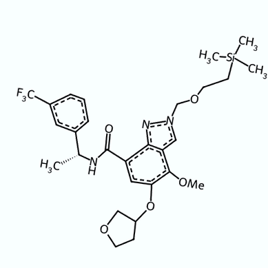 COc1c(OC2CCOC2)cc(C(=O)N[C@H](C)c2cccc(C(F)(F)F)c2)c2nn(COCC[Si](C)(C)C)cc12